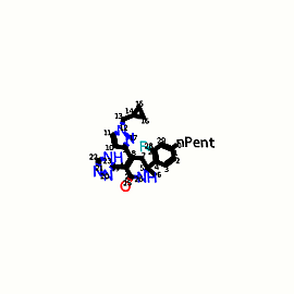 CCCCCc1ccc(C2(C)CC(c3ccn(CC4CC4)n3)=C(c3nnc[nH]3)C(=O)N2)c(F)c1